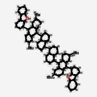 CC(C)(C)c1ccc2c(-c3cccc4c3oc3ccccc34)c3cc(C(C)(C)C)ccc3c(-c3cccc4c(-c5cccc6c(-c7c8cc(C(C)(C)C)ccc8c(-c8cccc9c8oc8ccccc89)c8cc(C(C)(C)C)ccc78)cccc56)cccc34)c2c1